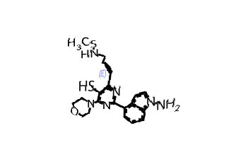 CSNC/C=C/c1nc(-c2cccc3c2ccn3N)nc(N2CCOCC2)c1S